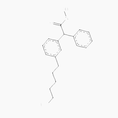 CCCCCCc1cccc(C(C(=O)NO)c2ccccc2)c1